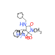 CN1C(=O)C(NCc2ccccc2)C(C)(Cc2ccccc2)C1(CO)C(N)=O